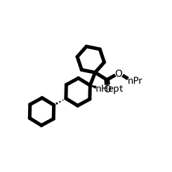 CCCCCCC[C@]1(C2(C(=O)OCCC)CCCCC2)CC[C@@H](C2CCCCC2)CC1